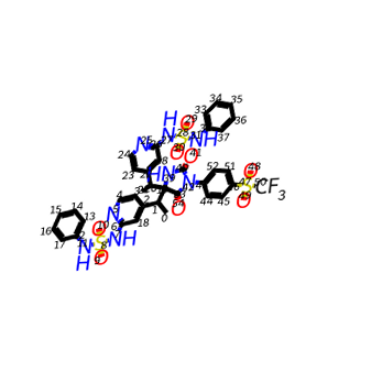 CC(c1ccnc(NS(=O)(=O)Nc2ccccc2)c1)C1(C(C)c2ccnc(NS(=O)(=O)Nc3ccccc3)c2)NC(=O)N(c2ccc(S(=O)(=O)C(F)(F)F)cc2)C1=O